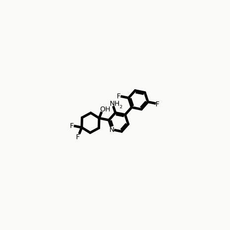 Nc1c(-c2cc(F)ccc2F)ccnc1C1(O)CCC(F)(F)CC1